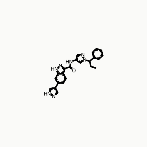 CCC(c1ccccc1)n1cc(NC(=O)c2n[nH]c3cc(-c4cn[nH]c4)ccc23)cn1